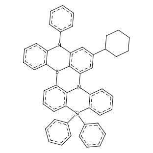 c1ccc(N2c3ccccc3B3c4cccc5c4N(c4ccccc4[Si]5(c4ccccc4)c4ccccc4)c4cc(C5CCCCC5)cc2c43)cc1